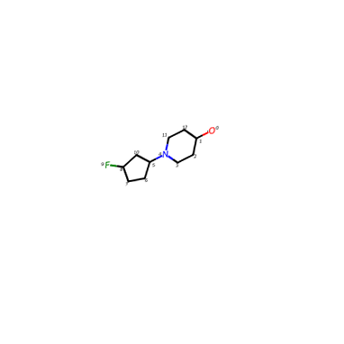 [O]C1CCN(C2CCC(F)C2)CC1